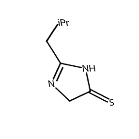 CC(C)CC1=NCC(=S)N1